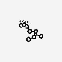 CC1(C)c2cccnc2-c2nc(-c3cccc(-c4cccc5c4c4cc(-c6ccccc6)ccc4n5-c4ccccc4)c3)ccc21